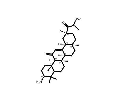 CON(C)C(=O)[C@@]1(C)CC[C@]2(C)CC[C@]3(C)C(=CC(=O)[C@@H]4[C@@]5(C)CC[C@H](N)C(C)(C)C5CC[C@]43C)[C@H]2C1